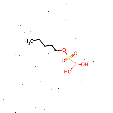 CCCCCOS(=O)(=O)B(O)O